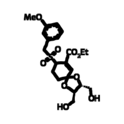 CCOC(=O)C1=CC2(CCC1S(=O)(=O)Cc1cccc(OC)c1)O[C@H](CO)[C@@H](CO)O2